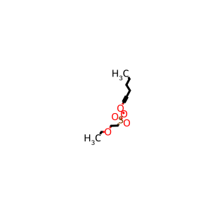 CCCCC#COOS(=O)(=O)CCOCC